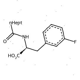 CCCCCCCC(=O)N[C@@H](Cc1cccc(F)c1)C(=O)O